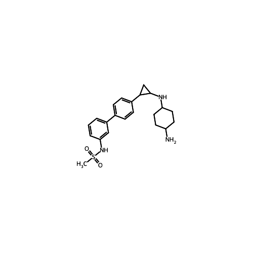 CS(=O)(=O)Nc1cccc(-c2ccc(C3CC3NC3CCC(N)CC3)cc2)c1